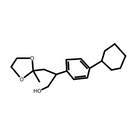 CC1(CC(CO)c2ccc(C3CCCCC3)cc2)OCCO1